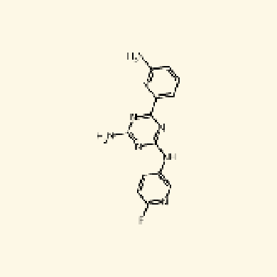 Nc1cccc(-c2nc(N)nc(Nc3ccc(F)nc3)n2)n1